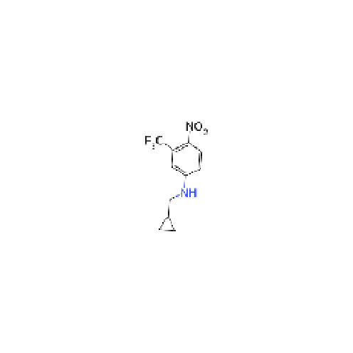 O=[N+]([O-])c1ccc(NCC2CC2)cc1C(F)(F)F